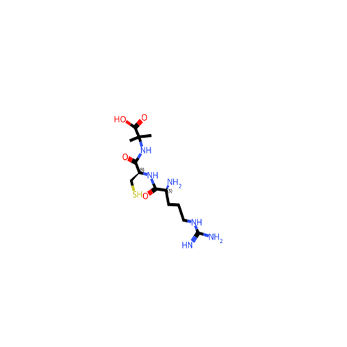 CC(C)(NC(=O)[C@H](CS)NC(=O)[C@@H](N)CCCNC(=N)N)C(=O)O